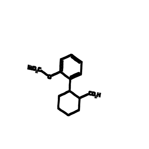 CCOC(=O)Oc1ccccc1C1CCCCC1C(=O)O